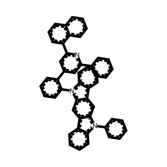 c1ccc(-c2cc(-c3ccccc3-n3c4ccccc4c4cc5c(cc43)c3ccccc3n5-c3ccccc3)cc(-c3cccc4ccccc34)n2)cc1